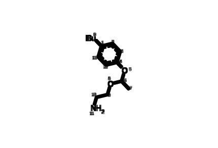 CCC(C)c1ccc(OC(C)OCCN)cc1